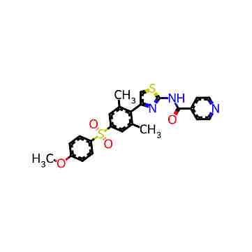 COc1ccc(S(=O)(=O)c2cc(C)c(-c3csc(NC(=O)c4ccncc4)n3)c(C)c2)cc1